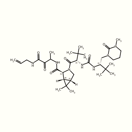 C=CCNC(=O)C(=O)C(C)NC(=O)[C@@H]1[C@@H]2[C@H](CN1C(=O)[C@@H](NC(=O)N[C@H](CN1CCCN(C)C1=O)C(C)(C)C)C(C)(C)C)C2(C)C